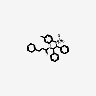 Cc1ccc(N(C(c2ccccc2)C(NC(=O)CCC2=CCC=CC2)c2ccccc2)[SH](=O)=O)cc1